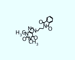 Cn1c(=O)c2c(ncn2CCCN2C(=O)c3ccccc3C2=O)n(C)c1=O